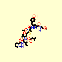 CCC(C)C(NC(=O)C1CCCCN1C)C(=O)N(COC(=O)CC(C)C)C(CC(OC(C)=O)c1nc(C(=O)NC(Cc2ccc(O)cc2)CC(C)C(=O)NCCOC)cs1)C(C)C